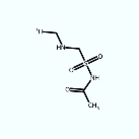 [3H]CNCS(=O)(=O)NC(C)=O